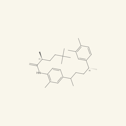 C=C(Nc1ccc(C(C)CC[C@@H](C)c2ccc(C)c(C)c2)cc1C)[C@@H](C)CCC(C)(C)C